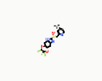 Cc1ccnc(C[S+]([O-])c2nc3cc4c(cc3[nH]2)OC(F)C(F)(F)O4)c1